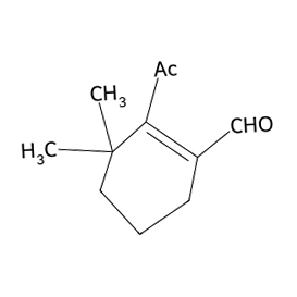 CC(=O)C1=C(C=O)CCCC1(C)C